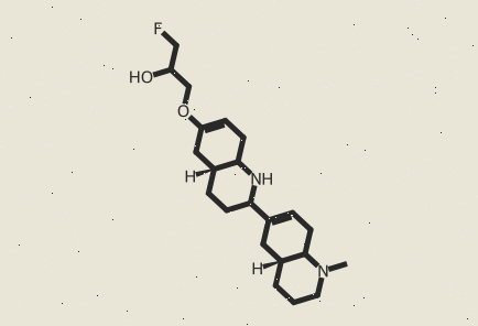 CN1CCC[C@@H]2CC(C3CC[C@@H]4CC(OCC(O)CF)=CCC4N3)=CCC21